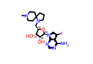 CN1CCC2(CCCN2C[C@H]2O[C@@H](n3cc(I)c4c(N)ncnc43)[C@H](O)[C@@H]2O)CC1